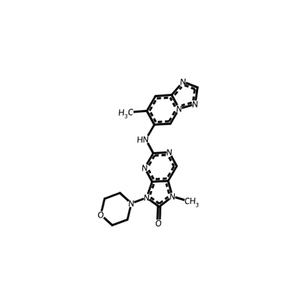 Cc1cc2ncnn2cc1Nc1ncc2c(n1)n(N1CCOCC1)c(=O)n2C